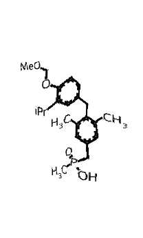 COCOc1ccc(Cc2c(C)cc(CP(C)(=O)O)cc2C)cc1C(C)C